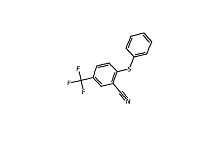 N#Cc1cc(C(F)(F)F)ccc1Sc1ccccc1